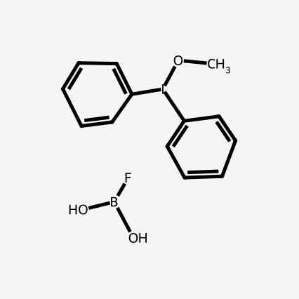 COI(c1ccccc1)c1ccccc1.OB(O)F